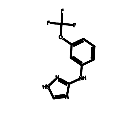 FC(F)(F)Oc1cccc(Nc2nc[nH]n2)c1